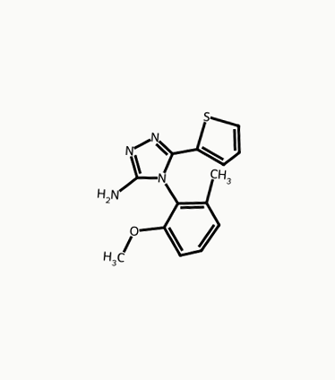 COc1cccc(C)c1-n1c(N)nnc1-c1cccs1